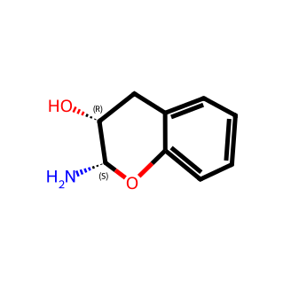 N[C@H]1Oc2ccccc2C[C@H]1O